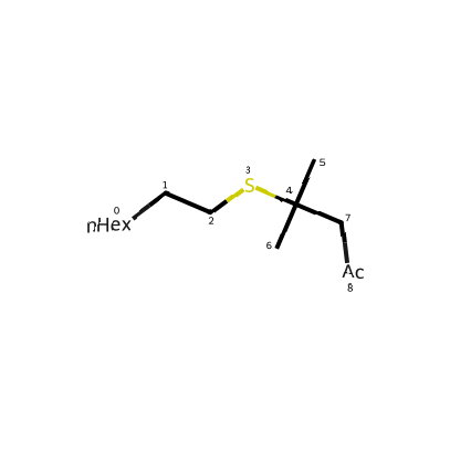 CCCCCCCCSC(C)(C)CC(C)=O